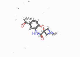 COC(=O)c1ccc2c(c1)NC(=O)C1(CN(C(C)C)C1)O2